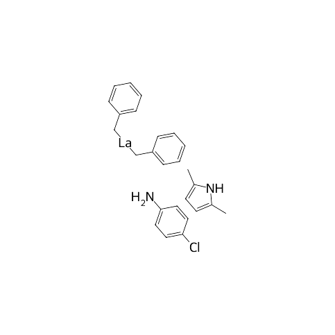 Cc1ccc(C)[nH]1.Nc1ccc(Cl)cc1.c1ccc([CH2][La][CH2]c2ccccc2)cc1